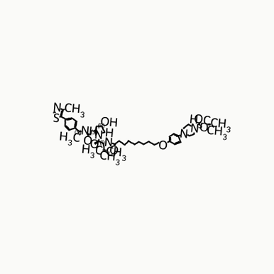 Cc1ncsc1-c1ccc([C@H](C)NC(=O)[C@@H]2C[C@@H](O)CN2C(=O)[C@H](NC(=O)CCCCCCCCCOc2ccc(N3CCN(C(=O)OC(C)(C)C)CC3)cc2)C(C)(C)C)cc1